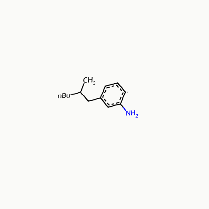 CCCCC(C)Cc1cc[c]c(N)c1